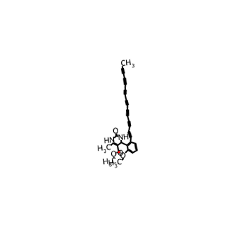 CC#CC#CC#CC#CC#CC#CC#Cc1cccc(OCC)c1C1NC(=O)NC(C)=C1C(=O)OC